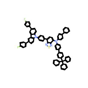 Fc1ccc(-c2ccc3c(c2)c2cc(-c4ccc(F)cc4)ccc2n3-c2ccc(-c3ccc(N(c4ccc(-c5ccccc5)cc4)c4ccc(-c5ccc(C(c6ccccc6)(c6ccccc6)c6ccccc6)cc5)cc4)c4nsnc34)cc2)cc1